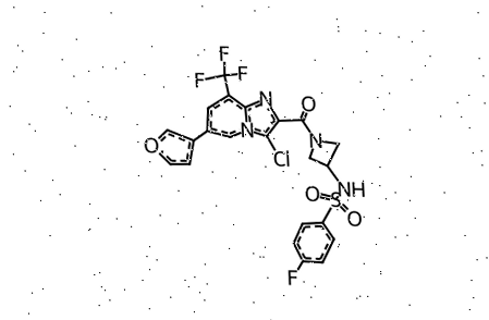 O=C(c1nc2c(C(F)(F)F)cc(-c3ccoc3)cn2c1Cl)N1CC(NS(=O)(=O)c2ccc(F)cc2)C1